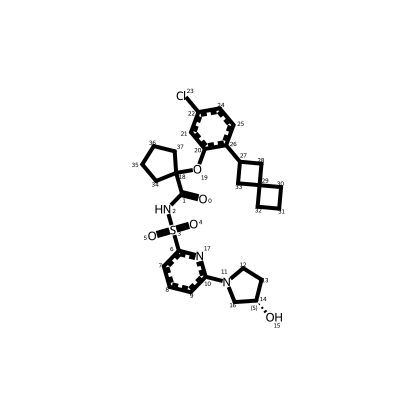 O=C(NS(=O)(=O)c1cccc(N2CC[C@H](O)C2)n1)C1(Oc2cc(Cl)ccc2C2CC3(CCC3)C2)CCCC1